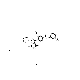 CCOc1cc(C(=O)Nc2cc(C(F)(F)F)ccn2)ccc1-c1nc([C@H]2CN[C@@H](C)CO2)n2c(Cl)cnc(N)c12